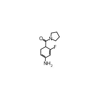 NC1=CCC(C(=O)N2CCCC2)C(F)=C1